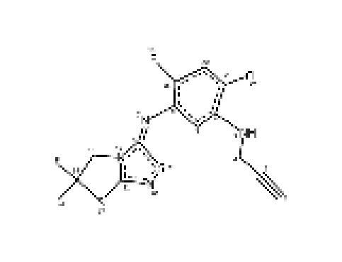 C#CCNc1cc(N=c2snc3n2CC(C)(C)S3)c(F)cc1Cl